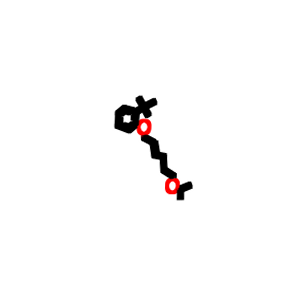 CC(C)OCCC/C=C/COc1ccccc1C(C)(C)C